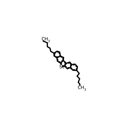 CCCCCCc1ccc2cc3c(cc2c1)[se]c1cc2cc(CCCCCC)ccc2cc13